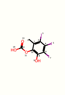 Cc1c(I)c(I)c(I)c(O)c1OC(=O)O